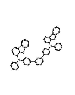 C1=CC(N(c2ccccc2)c2ccc(-c3cccc(-c4ccc(N(c5ccccc5)c5cccc6c5oc5ccccc56)cc4)c3)cc2)C2Sc3ccccc3C2=C1